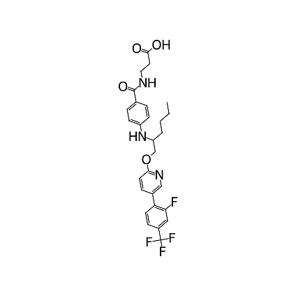 CCCCC(COc1ccc(-c2ccc(C(F)(F)F)cc2F)cn1)Nc1ccc(C(=O)NCCC(=O)O)cc1